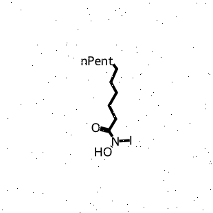 CCCCCCCCCCC(=O)N(O)I